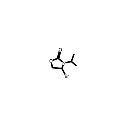 CC(C)N1C(=O)OCC1Br